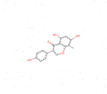 Cc1c(O)cc(O)c2c(=O)c(-c3ccc(O)cc3)coc12